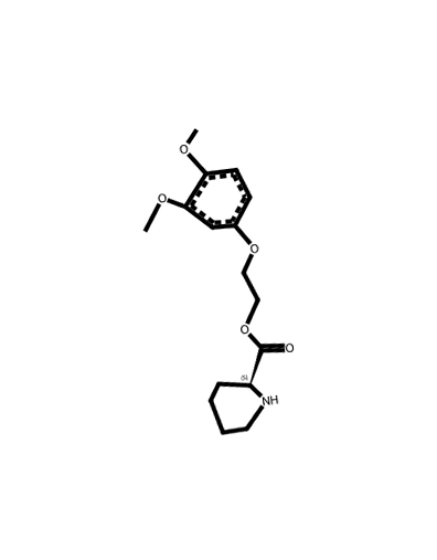 COc1ccc(OCCOC(=O)[C@@H]2CCCCN2)cc1OC